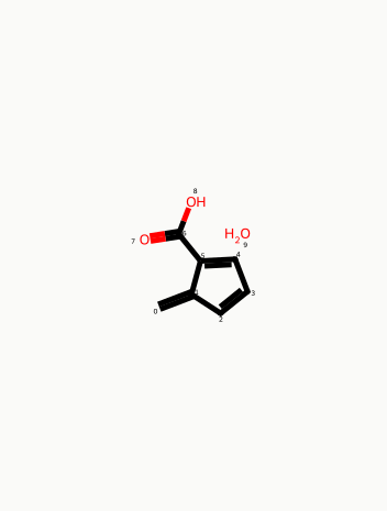 C=C1C=CC=C1C(=O)O.O